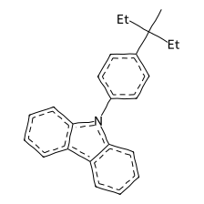 CCC(C)(CC)c1ccc(-n2c3ccccc3c3ccccc32)cc1